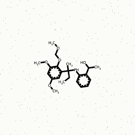 CCC(C)(Pc1ccccc1C(C)O)c1cc(OC)cc(OC)c1OCOC